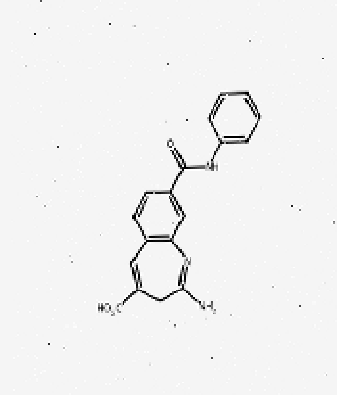 NC1=Nc2cc(C(=O)Nc3ccccc3)ccc2C=C(C(=O)O)C1